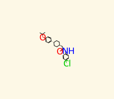 CC(C)Oc1ccc([C@H]2CC[C@H](CC(=O)Nc3ccc(Cl)cc3)CC2)cc1